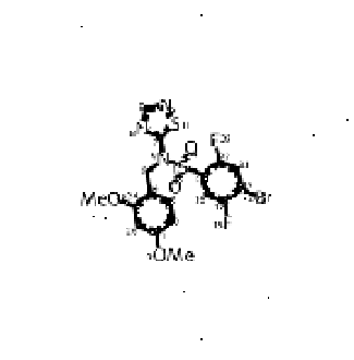 COc1ccc(CN(c2ncns2)S(=O)(=O)c2cc(F)c(Br)cc2F)c(OC)c1